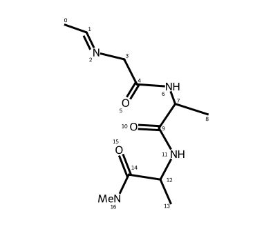 C/C=N/CC(=O)NC(C)C(=O)NC(C)C(=O)NC